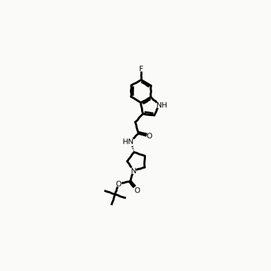 CC(C)(C)OC(=O)N1CC[C@@H](NC(=O)Cc2c[nH]c3cc(F)ccc23)C1